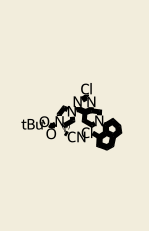 CC(C)(C)OC(=O)N1CCN(c2nc(Cl)nc3c2CCN(c2cccc4cccc(Cl)c24)C3)C[C@@H]1CC#N